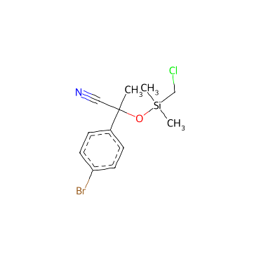 CC(C#N)(O[Si](C)(C)CCl)c1ccc(Br)cc1